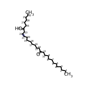 CCCCCCCCCCCCC(=O)CCCCCCC/C=C\C[C@H](O)CCCCCC